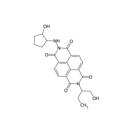 CCC(CO)N1C(=O)c2ccc3c4c(ccc(c24)C1=O)C(=O)N(NC1CCCC1O)C3=O